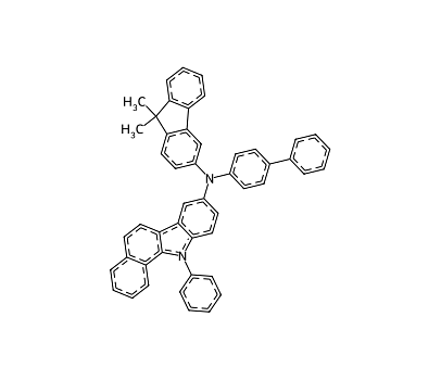 CC1(C)c2ccccc2-c2cc(N(c3ccc(-c4ccccc4)cc3)c3ccc4c(c3)c3ccc5ccccc5c3n4-c3ccccc3)ccc21